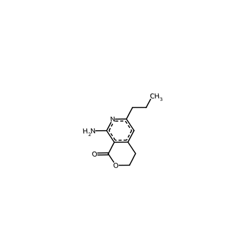 CCCc1cc2c(c(N)n1)C(=O)OCC2